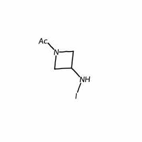 CC(=O)N1CC(NI)C1